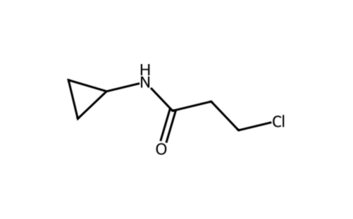 O=C(CCCl)NC1CC1